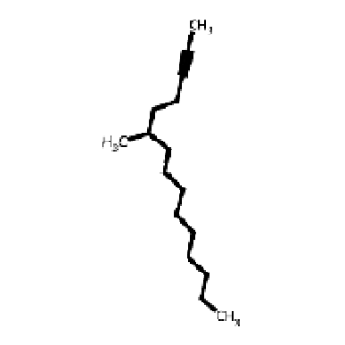 CC#CCCC(C)CCCCCCCCC